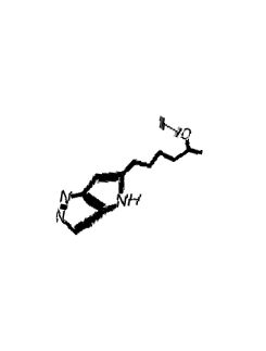 CC(O)CCCCc1cc2nnccc2[nH]1